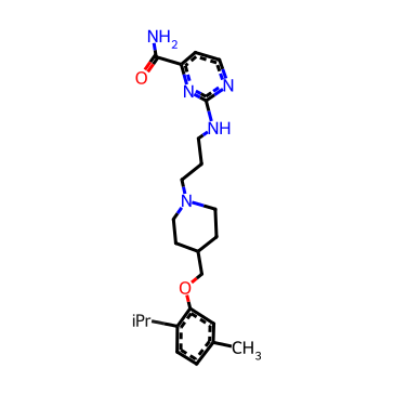 Cc1ccc(C(C)C)c(OCC2CCN(CCCNc3nccc(C(N)=O)n3)CC2)c1